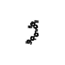 CCC(O)(CC)c1ccc(-c2cccc(COc3ccc(C(=O)O)c(C(=O)O)c3)c2)c(C)c1